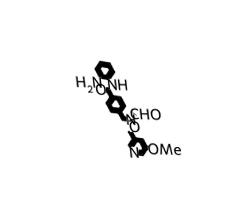 COc1cncc(CON(C=O)Cc2ccc(C(=O)Nc3ccccc3N)cc2)c1